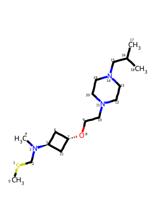 CSCN(C)[C@H]1C[C@H](OCCN2CCN(CC(C)C)CC2)C1